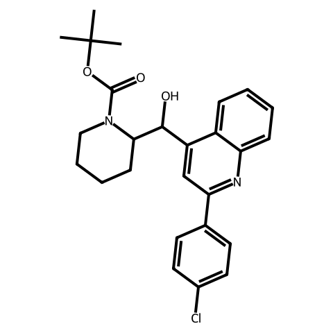 CC(C)(C)OC(=O)N1CCCCC1C(O)c1cc(-c2ccc(Cl)cc2)nc2ccccc12